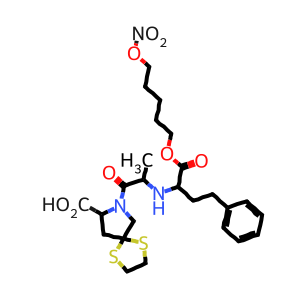 CC(NC(CCc1ccccc1)C(=O)OCCCCCO[N+](=O)[O-])C(=O)N1CC2(CC1C(=O)O)SCCS2